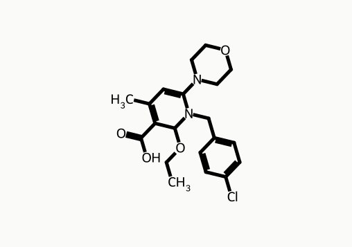 CCOC1C(C(=O)O)=C(C)C=C(N2CCOCC2)N1Cc1ccc(Cl)cc1